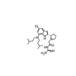 CC(C)CCN(CCC(C)C)c1cc(Cl)cc2cc([C@@H]3CCCN3CC(=O)NC(=N)N)[nH]c12